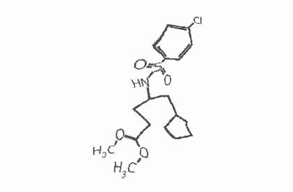 COC(CCC(CC1CCCC1)NS(=O)(=O)c1ccc(Cl)cc1)OC